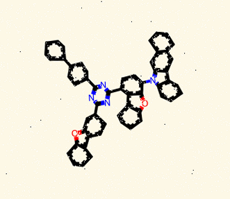 c1ccc(-c2ccc(-c3nc(-c4ccc5c(c4)oc4ccccc45)nc(-c4ccc(-n5c6ccccc6c6cc7ccccc7cc65)c5oc6ccccc6c45)n3)cc2)cc1